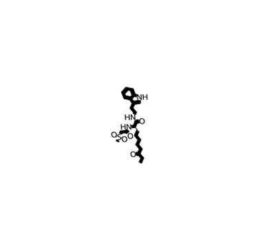 CCC(=O)CCCCC[C@H](NC(=O)CS(C)(=O)=O)C(=O)NCCc1c[nH]c2ccccc12